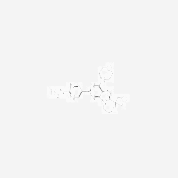 Nc1ncc(-c2nc(N3CCOCC3)c3nc4n(c3n2)CCOC42COC2)cn1